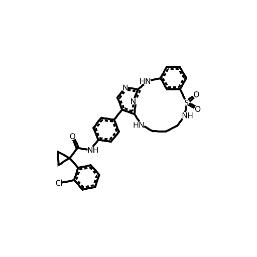 O=C(Nc1ccc(-c2cnc3nc2NCCCNS(=O)(=O)c2cccc(c2)N3)cc1)C1(c2ccccc2Cl)CC1